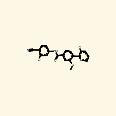 COc1cc(C(=O)Nc2ccc(C#N)c(Cl)c2)ccc1-c1ncccc1Cl